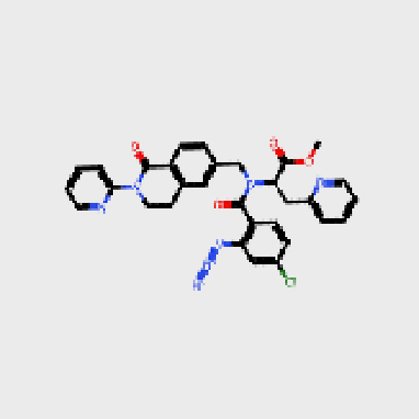 COC(=O)[C@@H](Cc1ccccn1)N(Cc1ccc2c(c1)CCN(c1ccccn1)C2=O)C(=O)c1ccc(Cl)cc1N=[N+]=[N-]